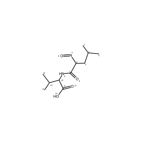 CC(C)CC(N=O)C(=O)NC(C(=O)O)C(C)C